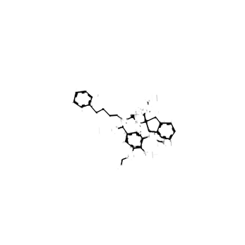 CCOc1cc(C(C)N(CCCCc2ccccc2)C(=O)NC2(C(=O)OC)Cc3ccccc3C2)cc(OCC)c1C